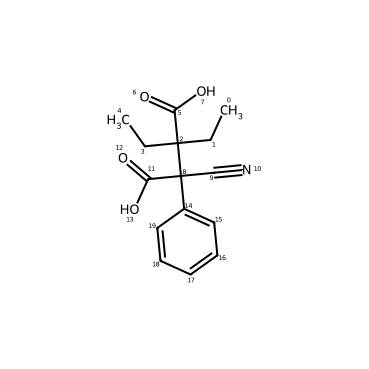 CCC(CC)(C(=O)O)C(C#N)(C(=O)O)c1ccccc1